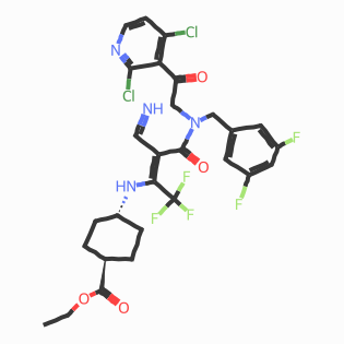 CCOC(=O)[C@H]1CC[C@H](N/C(=C(\C=N)C(=O)N(CC(=O)c2c(Cl)ccnc2Cl)Cc2cc(F)cc(F)c2)C(F)(F)F)CC1